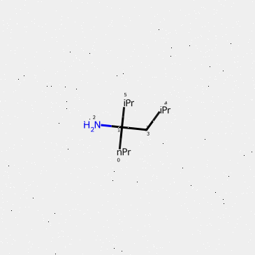 CCCC(N)(CC(C)C)C(C)C